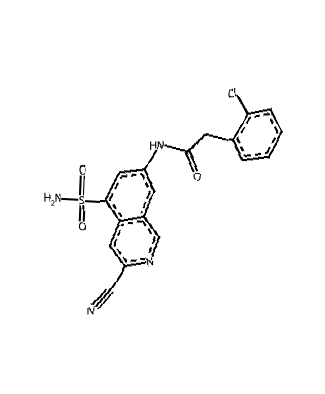 N#Cc1cc2c(S(N)(=O)=O)cc(NC(=O)Cc3ccccc3Cl)cc2cn1